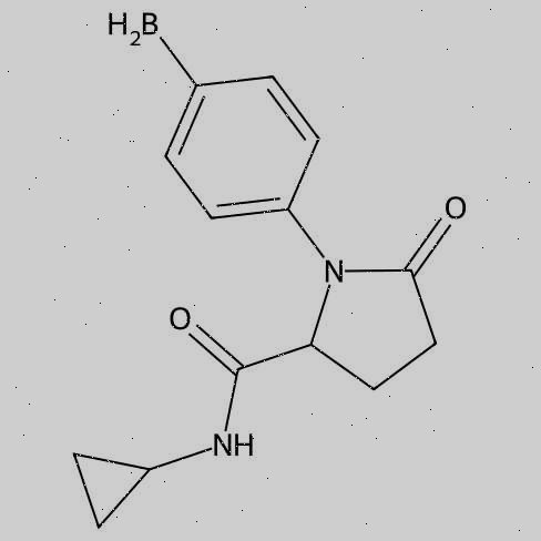 Bc1ccc(N2C(=O)CCC2C(=O)NC2CC2)cc1